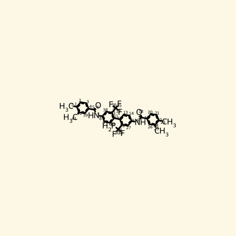 Cc1ccc(C(=O)Nc2ccc(-c3ccc(NC(=O)c4ccc(C)c(C)c4)cc3C(F)(F)P)c(C(F)(F)F)c2)cc1C